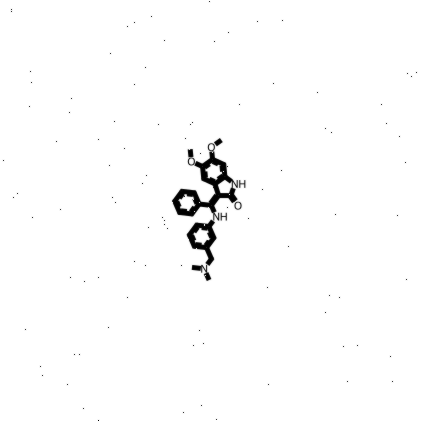 COc1cc2c(cc1OC)/C(=C(/Nc1cccc(CN(C)C)c1)c1ccccc1)C(=O)N2